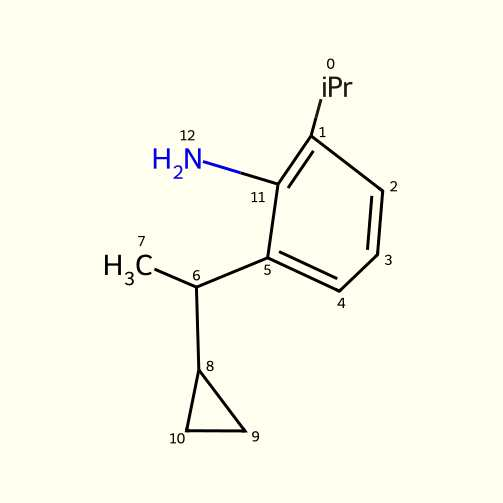 CC(C)c1cccc(C(C)C2CC2)c1N